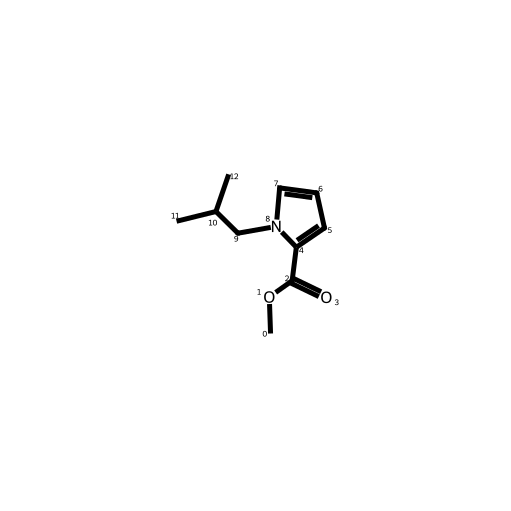 COC(=O)c1cccn1CC(C)C